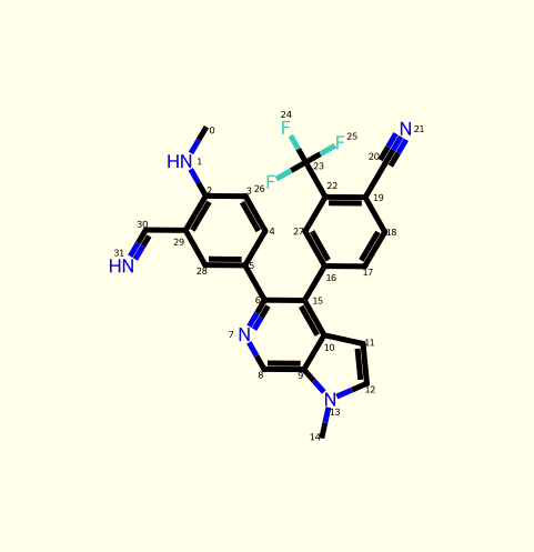 CNc1ccc(-c2ncc3c(ccn3C)c2-c2ccc(C#N)c(C(F)(F)F)c2)cc1C=N